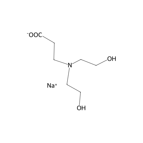 O=C([O-])CCN(CCO)CCO.[Na+]